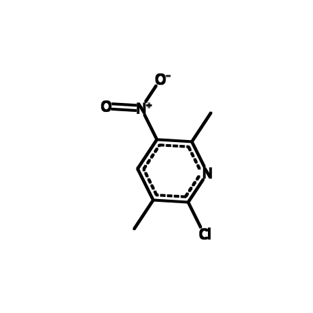 Cc1cc([N+](=O)[O-])c(C)nc1Cl